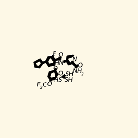 NC(=O)c1cc(NC(=O)c2c(F)cc(C3CCCC3)cc2Oc2ccc(OC(F)(F)F)cc2OC(S)(S)S)ccn1